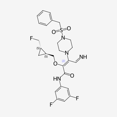 N=C/C(=C(/OC[C@H]1C[C@@H]1CF)C(=O)Nc1cc(F)cc(F)c1)N1CCN(S(=O)(=O)Cc2ccccc2)CC1